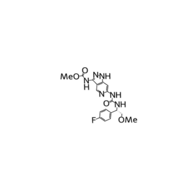 COC[C@@H](NC(=O)Nc1cc2[nH]nc(NC(=O)OC)c2cn1)c1ccc(F)cc1